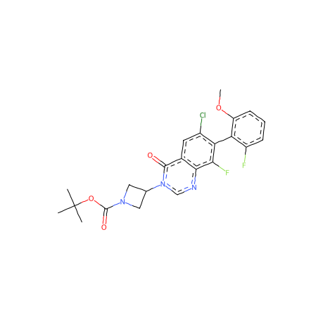 COc1cccc(F)c1-c1c(Cl)cc2c(=O)n(C3CN(C(=O)OC(C)(C)C)C3)cnc2c1F